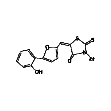 CCN1C(=O)/C(=C\c2ccc(-c3ccccc3O)o2)SC1=S